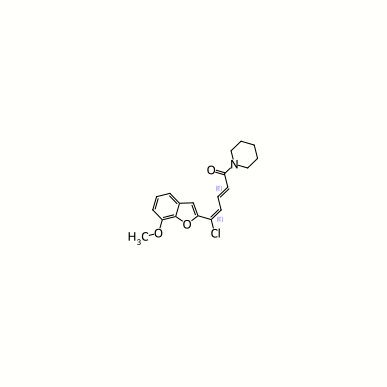 COc1cccc2cc(/C(Cl)=C\C=C\C(=O)N3CCCCC3)oc12